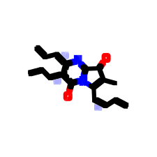 C=C/C=C\C1=C(C)C(=O)c2nc(=C/C=C)/c(=C\C=C)c(=O)n21